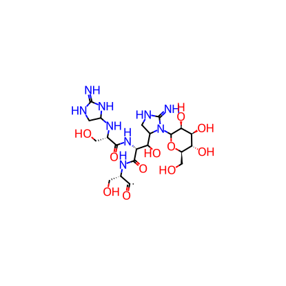 N=C1NCC(N[C@@H](CO)C(=O)N[C@@H](C(=O)N[C@H]([C]=O)CO)C(O)C2CNC(=N)N2C2O[C@H](CO)[C@@H](O)[C@H](O)[C@@H]2O)N1